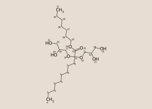 CCCCCCCCCC(OCC(O)CO)(OCC(O)CO)C(=O)OCCCCCCC